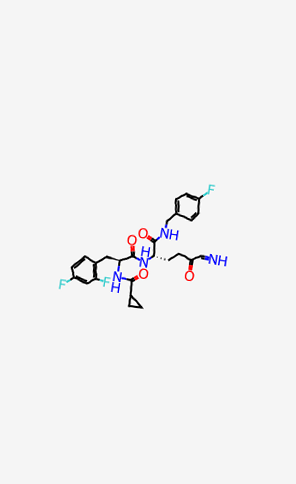 N=CC(=O)CC[C@H](NC(=O)[C@H](Cc1ccc(F)cc1F)NC(=O)C1CC1)C(=O)NCc1ccc(F)cc1